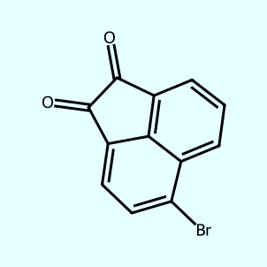 O=C1C(=O)c2ccc(Br)c3cccc1c23